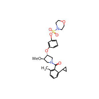 CO[C@@H]1CN(C(=O)c2c(C)cccc2C2CC2)C[C@H]1Oc1cccc(OS(=O)(=O)N2CCOCC2)c1